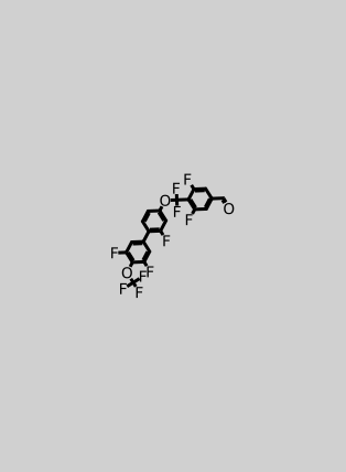 O=Cc1cc(F)c(C(F)(F)Oc2ccc(-c3cc(F)c(OC(F)(F)F)c(F)c3)c(F)c2)c(F)c1